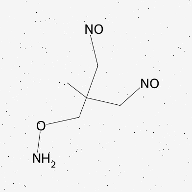 CC(CN=O)(CN=O)CON